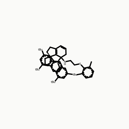 Cc1cccc(C)c1SCCNC1(P(c2cc(C(C)(C)C)cc(C(C)(C)C)c2)c2cc(C(C)(C)C)cc(C(C)(C)C)c2)CC=CC2=C1[C@@]1(CC2)CCc2ccccc21